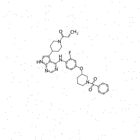 C=CC(=O)N1CCC(c2c[nH]c3ncnc(Nc4ccc(OC5CCCN(S(=O)(=O)c6ccccc6)C5)cc4F)c23)CC1